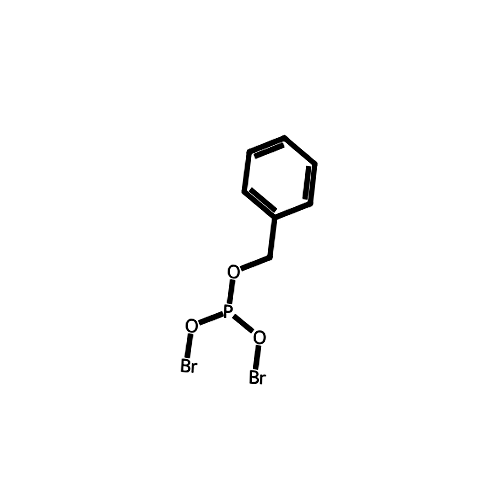 BrOP(OBr)OCc1ccccc1